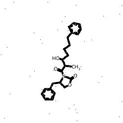 CC(C(=O)N1C(=O)OCC1Cc1ccccc1)C(O)CCCCc1ccccc1